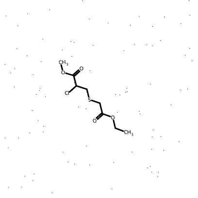 CCOC(=O)CSCC(Cl)C(=O)OC